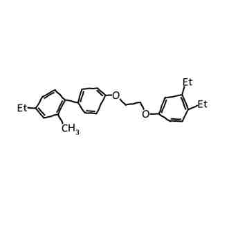 CCc1ccc(-c2ccc(OCCOc3ccc(CC)c(CC)c3)cc2)c(C)c1